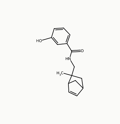 CC1(CNC(=O)c2cccc(O)c2)CC2C=CC1C2